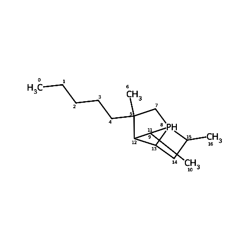 CCCCCC1(C)C[PH]23C(C)CC1C2CC3C